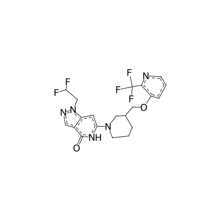 O=c1[nH]c(N2CCCC(COc3cccnc3C(F)(F)F)C2)cc2c1cnn2CC(F)F